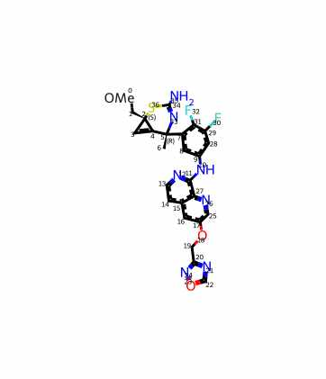 COC[C@]12C=C1[C@@](C)(c1cc(Nc3nccc4cc(OCc5ncon5)cnc34)cc(F)c1F)N=C(N)S2